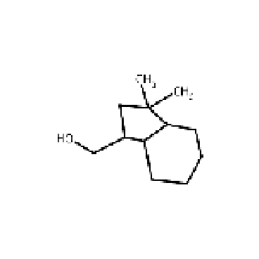 CC1(C)CC(CO)C2CCCCC21